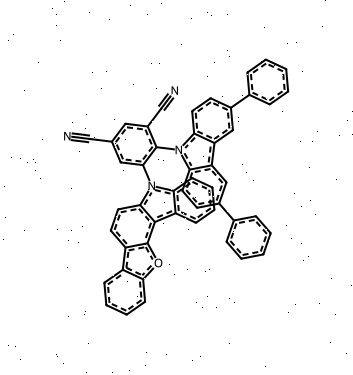 N#Cc1cc(C#N)c(-n2c3ccc(-c4ccccc4)cc3c3cc(-c4ccccc4)ccc32)c(-n2c3ccccc3c3c4oc5ccccc5c4ccc32)c1